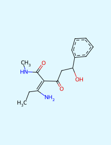 CC/C(N)=C(/C(=O)CC(O)c1ccccc1)C(=O)NC